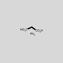 O=C(O)CC(=O)O.P